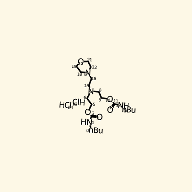 CCCCNC(=O)OCCN(CCOC(=O)NCCCC)CCN1CCOCC1.Cl.Cl